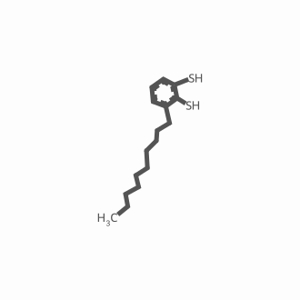 CCCCCCCCCCc1cccc(S)c1S